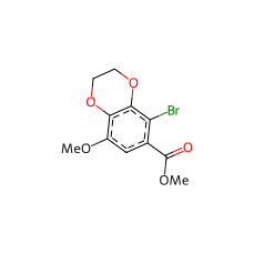 COC(=O)c1cc(OC)c2c(c1Br)OCCO2